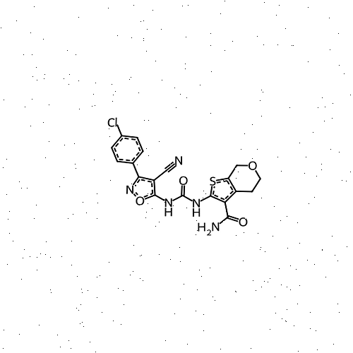 N#Cc1c(-c2ccc(Cl)cc2)noc1NC(=O)Nc1sc2c(c1C(N)=O)CCOC2